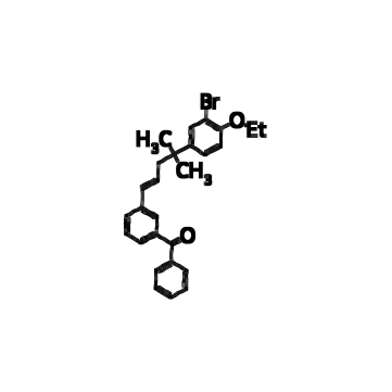 CCOc1ccc(C(C)(C)C/C=C/c2cccc(C(=O)c3ccccc3)c2)cc1Br